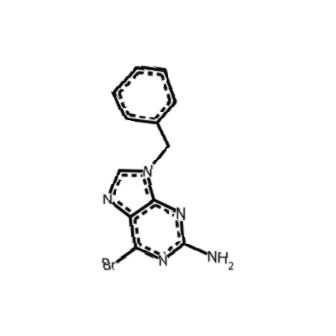 Nc1nc(Br)c2ncn(Cc3ccccc3)c2n1